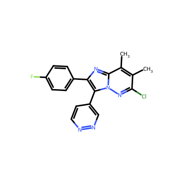 Cc1c(Cl)nn2c(-c3ccnnc3)c(-c3ccc(F)cc3)nc2c1C